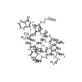 CCCCCCCCCCCCCC(=O)N[C@@H](Cc1c[nH]c2ccccc12)C(=O)NCC(=O)NCC(=O)N[C@H](C(=O)N[C@H](C(=O)N[C@@H](CCCN)C(=O)N[C@@H](CC(N)=O)C(=O)N[C@@H](Cc1ccc(O)cc1)C(=O)N[C@@H](C)C(=O)O)C(N)CCN)[C@@H](C)CC